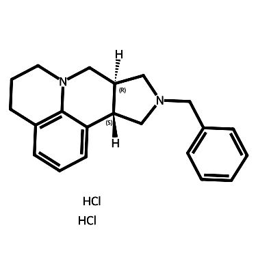 Cl.Cl.c1ccc(CN2C[C@@H]3CN4CCCc5cccc(c54)[C@H]3C2)cc1